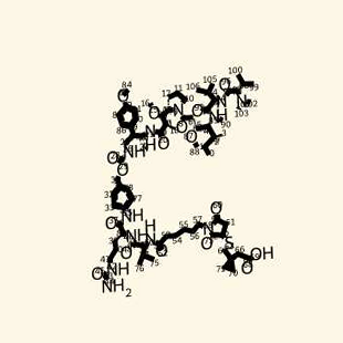 CC[C@H](C)[C@@H]([C@@H](CC(=O)N1CCC[C@H]1[C@H](OC)[C@@H](C)C(=O)N[C@H](C)C(CNC(=O)OCc1ccc(NC(=O)[C@H](CCCNC(N)=O)NC(=O)[C@@H](NC(=O)CCCCCN2C(=O)CC(SCC3(CC(=O)O)CC3)C2=O)C(C)C)cc1)c1ccc(OC)cc1)OC)N(C)C(=O)[C@@H](NC(=O)[C@H](C(C)C)N(C)C)C(C)C